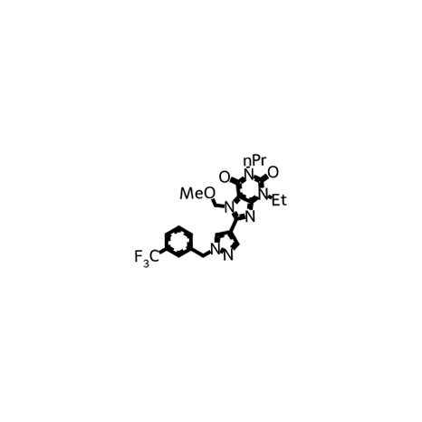 CCCn1c(=O)c2c(nc(-c3cnn(Cc4cccc(C(F)(F)F)c4)c3)n2COC)n(CC)c1=O